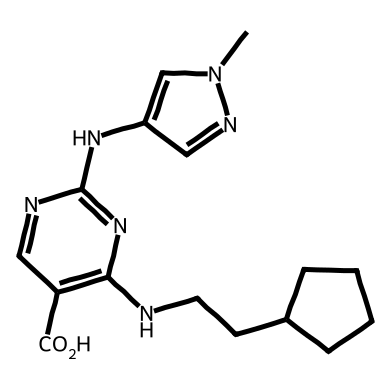 Cn1cc(Nc2ncc(C(=O)O)c(NCCC3CCCC3)n2)cn1